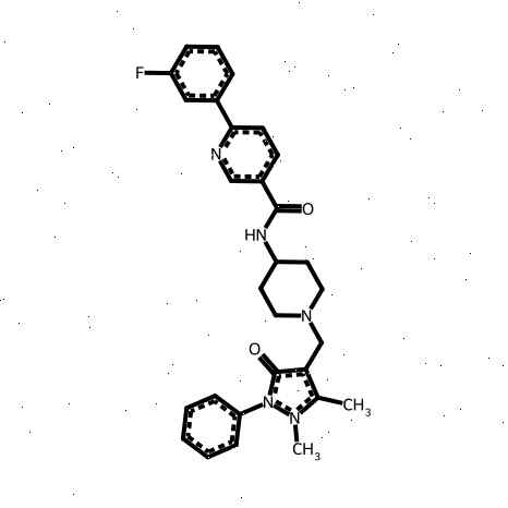 Cc1c(CN2CCC(NC(=O)c3ccc(-c4cccc(F)c4)nc3)CC2)c(=O)n(-c2ccccc2)n1C